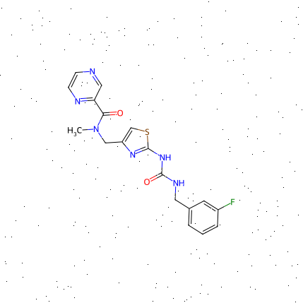 CN(Cc1csc(NC(=O)NCc2cccc(F)c2)n1)C(=O)c1cnccn1